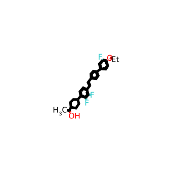 CCOc1ccc(-c2ccc(/C=C/c3ccc(C4CCC(C(C)O)CC4)c(F)c3F)cc2)cc1F